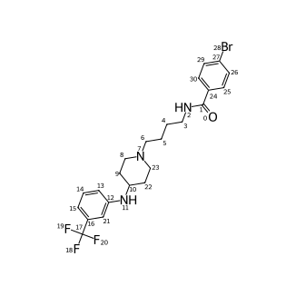 O=C(NCCCCN1CCC(Nc2cccc(C(F)(F)F)c2)CC1)c1ccc(Br)cc1